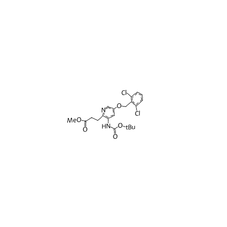 COC(=O)CCc1ncc(OCc2c(Cl)cccc2Cl)cc1NC(=O)OC(C)(C)C